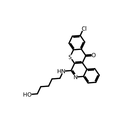 O=c1c2cc(Cl)ccc2sc2c(NCCCCCO)nc3ccccc3c12